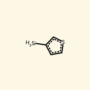 [SiH3]c1ccsc1